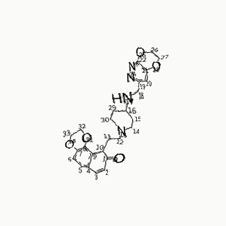 O=C1C=Cc2ccc3c(c2C1CCN1CCC(NCc2cc4c(nn2)OCCO4)CC1)OCCO3